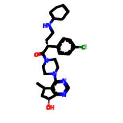 CC1C[C@@H](O)c2ncnc(N3CCN(C(=O)[C@H](CCNC4CCCCC4)c4ccc(Cl)cc4)CC3)c21